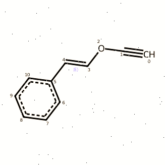 C#CO/C=C/c1ccccc1